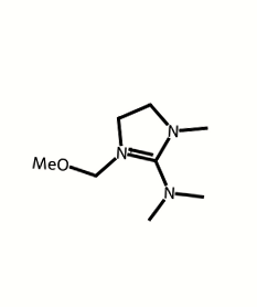 COC[N+]1=C(N(C)C)N(C)CC1